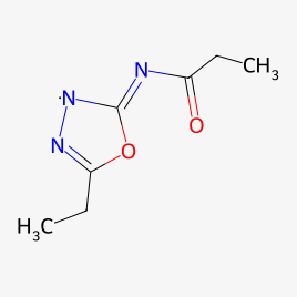 CCC(=O)N=C1[N]N=C(CC)O1